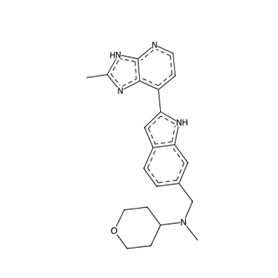 Cc1nc2c(-c3cc4ccc(CN(C)C5CCOCC5)cc4[nH]3)ccnc2[nH]1